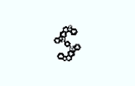 c1ccc2c(c1)Cc1ccc3cc4c5ccccc5n(-c5ccc(-n6c7ccccc7c7cc8ccc9oc%10ccccc%10c9c8cc76)cc5)c4cc3c1-2